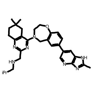 Cc1nc2ncc(-c3ccc4c(c3)CN(c3nc(CNCC(C)C)nc5c3CC(C)(C)CC5)CCO4)cc2[nH]1